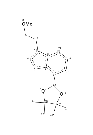 COCCn1ccc2c(C3OC(C)(C)C(C)(C)O3)ccnc21